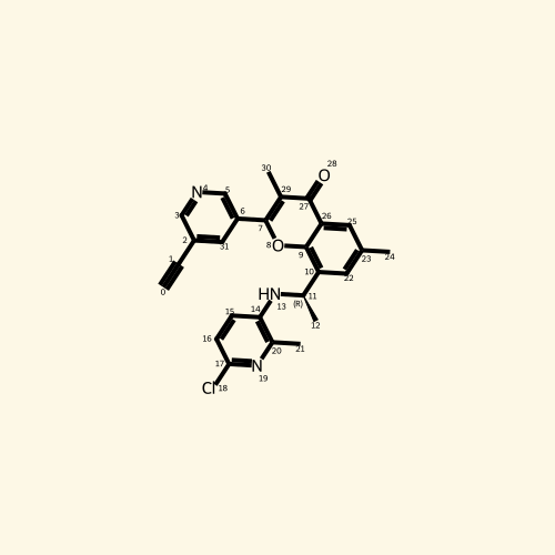 C#Cc1cncc(-c2oc3c([C@@H](C)Nc4ccc(Cl)nc4C)cc(C)cc3c(=O)c2C)c1